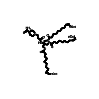 CCCCCCCC/C=C\CCCCCCCC(=O)OCC(COC(=O)CCCCCCC/C=C\CCCCCCCC)(COC(=O)CCCCCCC/C=C\CCCCCCCC)NC(=O)CCN1CCC(C(N)=O)CC1